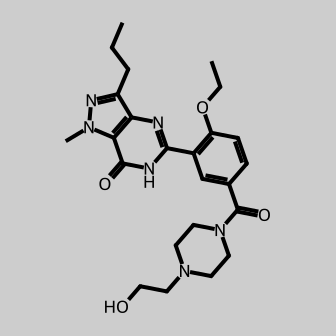 CCCc1nn(C)c2c(=O)[nH]c(-c3cc(C(=O)N4CCN(CCO)CC4)ccc3OCC)nc12